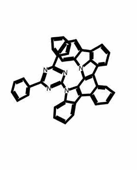 c1ccc(-c2nc(-c3ccccc3)nc(-n3c4ccccc4c4c5ccccc5c5c6cccc7c8ccccc8n(c76)c5c43)n2)cc1